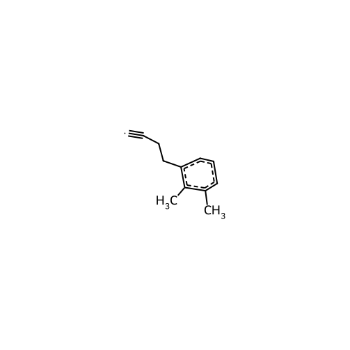 [C]#CCCc1cccc(C)c1C